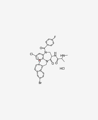 CNC(C)C(=O)NC1CN(C(=O)c2ccc(F)cc2)c2cc(Cl)ccc2N(Cc2c(OC)ccc3cc(Br)ccc23)C1=O.Cl